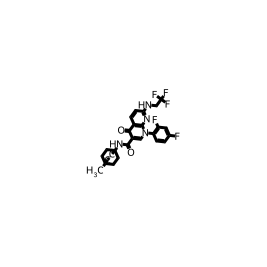 CC12CCC(NC(=O)c3cn(-c4ccc(F)cc4F)c4nc(NCC(F)(F)F)ccc4c3=O)(CC1)CC2